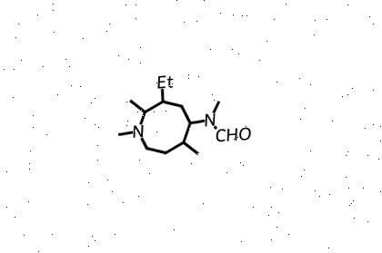 CCC1CC(N(C)C=O)C(C)CCN(C)C1C